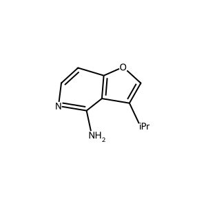 CC(C)c1coc2ccnc(N)c12